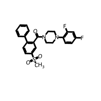 CS(=O)(=O)c1ccc(-c2ccccc2)c(C(=O)N2CCN(c3ccc(F)cc3F)CC2)c1